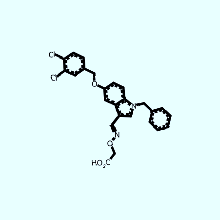 O=C(O)CON=Cc1cn(Cc2ccccc2)c2ccc(OCc3ccc(Cl)c(Cl)c3)cc12